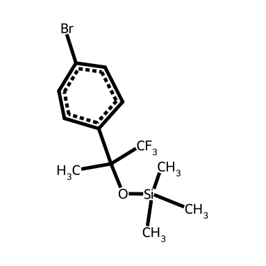 CC(O[Si](C)(C)C)(c1ccc(Br)cc1)C(F)(F)F